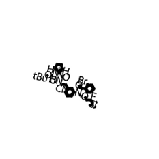 CC(C)(C)OC(=O)N1[C@@H]2CC[C@@H](C2)[C@H]1C(=O)NC(C#N)Cc1cccc(N(COCC[Si](C)(C)C)C(=O)c2cc(F)ccc2Br)c1